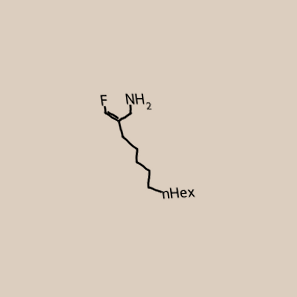 CCCCCCCCCCCC(=CF)CN